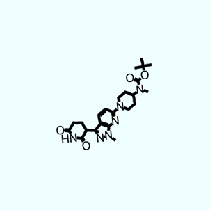 CN(C(=O)OC(C)(C)C)C1CCN(c2ccc3c(C4CCC(=O)NC4=O)nn(C)c3n2)CC1